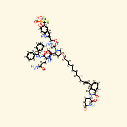 CCCC[C@H](NC(=O)c1cc2cc(C(F)(F)P(=O)(O)O)ccc2[nH]1)C(=O)N1C[C@H](OCCCCCCCCCC#Cc2cccc3c2CN(C2CCC(=O)NC2=O)C3=O)C[C@H]1C(=O)N[C@@H](CCC(N)=O)C(=O)NC(c1ccccc1)c1ccccc1